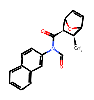 C[C@@H]1C2C=CC(O2)[C@@H]1C(=O)N(C=O)c1ccc2ccccc2c1